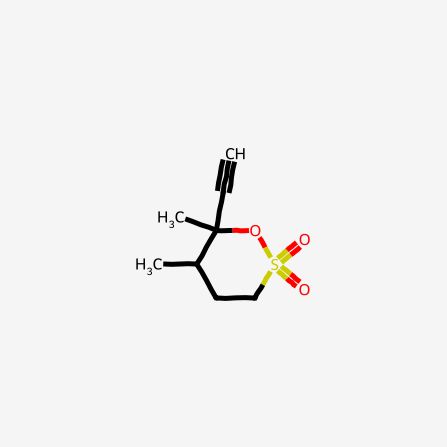 C#CC1(C)OS(=O)(=O)CCC1C